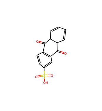 O=C1c2ccc(S(=O)(=O)O)cc2C(=O)C2C=CC=CC12